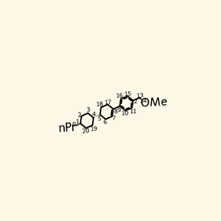 CCC[C@H]1CC[C@H](C2CC=C(c3ccc(COC)cc3)CC2)CC1